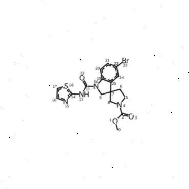 COC(=O)N1CCC2(C1)CN(C(=O)Nc1nccs1)c1ccc(Br)cc12